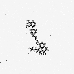 CC(CC(C)(C)C)C(C)(C)C(=O)n1c(=O)ccc2ccc(OCCCCN3CCN(c4cccc(Cl)c4Cl)CC3)cc21